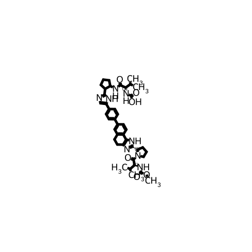 COC(=O)N[C@H](C(=O)N1CCC[C@H]1c1nc2c([nH]1)-c1ccc(-c3ccc(-c4cnc(C5CCCC5NC(=O)[C@@H](NC(=O)O)C(C)C)[nH]4)cc3)cc1CC2)C(C)C